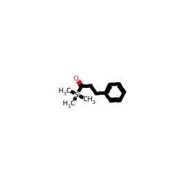 C[Si](C)(C)C(=O)CCc1ccccc1